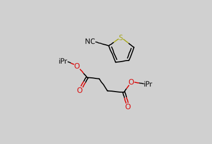 CC(C)OC(=O)CCC(=O)OC(C)C.N#Cc1cccs1